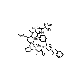 CC[C@H](C)[C@@H]([C@@H](CC(=O)N1CCC[C@H]1[C@H](OC)[C@@H](C)C(=O)N[C@@H](Cc1ccccc1)CS(=O)(=O)Cc1ccccc1)OC)N(C)[C@H](C(=O)NC(=O)[C@@H](NC)C(C)C)C(C)C